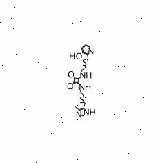 Cc1nc[nH]c1CSCCNc1c(NCCSCc2ncccc2O)c(=O)c1=O